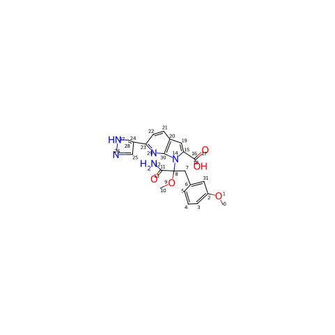 COc1cccc(CC(OC)(C(N)=O)n2c(C(=O)O)cc3ccc(-c4cn[nH]c4)nc32)c1